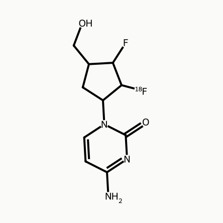 Nc1ccn(C2CC(CO)C(F)C2[18F])c(=O)n1